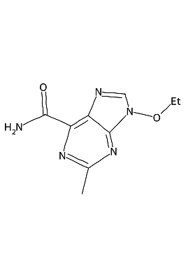 CCOn1cnc2c(C(N)=O)nc(C)nc21